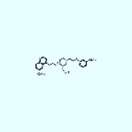 COc1cccc(SCCN2CC[C@@H](CCCc3ccnc4ccc(OC)cc34)[C@@H](CO)C2)c1